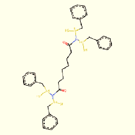 O=C(CCCCCCC(=O)N([SH](S)Cc1ccccc1)[SH](S)Cc1ccccc1)N([SH](S)Cc1ccccc1)[SH](S)Cc1ccccc1